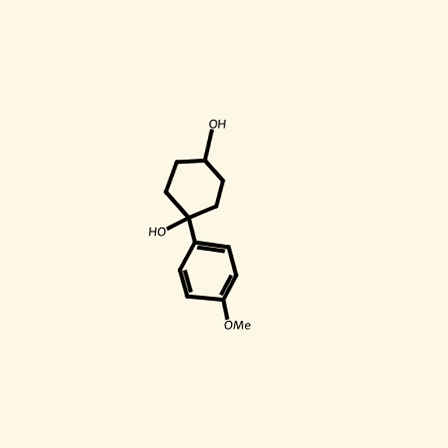 COc1ccc(C2(O)CCC(O)CC2)cc1